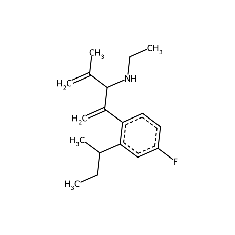 C=C(C)C(NCC)C(=C)c1ccc(F)cc1C(C)CC